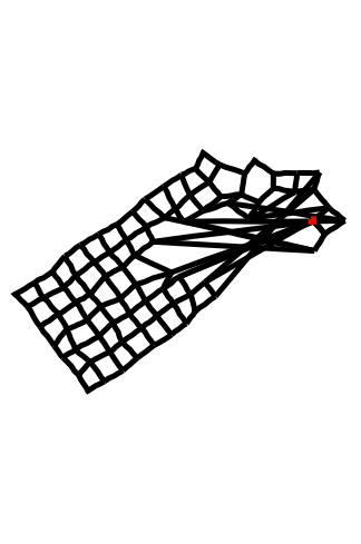 C1C2C3CC4C5C6C7C8C9C%10C%11C%12C%13C%14CC%15C%16C%17C%18C%19CC%20C%21C%22C%23C%24C%25C%26C%27C%28C%29C1C21C2C3%30C3C4C54C65C76C87C98C%109C%11%10C%12%11C%13%12C%15%14C%16%13C%17%14C%18%15C%19%20C%21%16C%22%17C%23%18C%24%19C%25%20C%26%21C%27%22C%28%23C%291C21C%302C34C53C64C75C86C97C%108C%119C%13%12C%14%10C%15%16C%17%11C%18%12C%19%13C%20%14C%21%15C%22%16C%231C23C4%16C5%15C6%14C7%13C8%12C%109%11